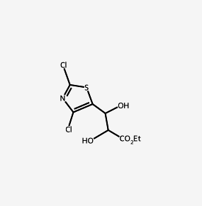 CCOC(=O)C(O)C(O)c1sc(Cl)nc1Cl